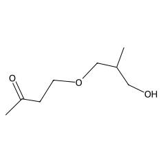 CC(=O)CCOCC(C)CO